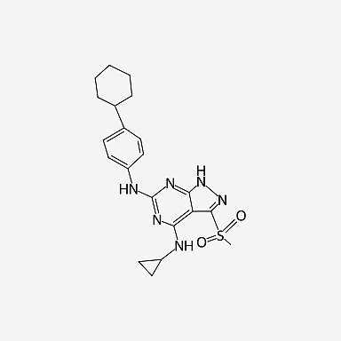 CS(=O)(=O)c1n[nH]c2nc(Nc3ccc(C4CCCCC4)cc3)nc(NC3CC3)c12